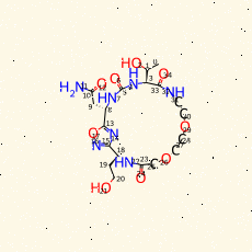 CC(O)[C@@H]1NC(=O)N[C@@H](CC(N)=O)c2nc(no2)[C@H](CCO)NC(=O)COCCOCCNC1=O